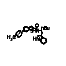 CCCC[C@H](Cc1c[nH]c2ccccc12)NC(=O)c1cc2ccc(N3CCN(C)CC3)cc2s1